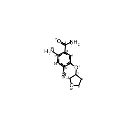 NC(=O)c1cc(OC2CCOC2)c(Br)cc1N